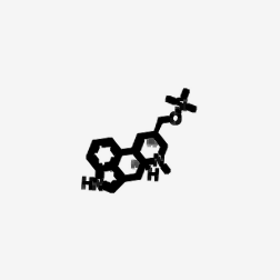 CN1C[C@H](CO[Si](C)(C)C)C=C2c3cccc4[nH]cc(c34)C[C@H]21